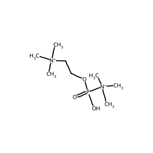 C[N+](C)(C)CCOP(=O)(O)[N+](C)(C)C